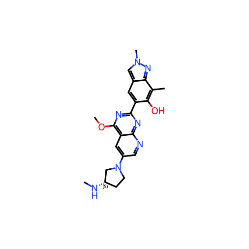 CN[C@H]1CCN(c2cnc3nc(-c4cc5cn(C)nc5c(C)c4O)nc(OC)c3c2)C1